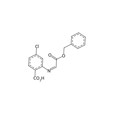 O=C(/C=N\c1cc(Cl)ccc1C(=O)O)OCc1ccccc1